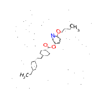 CCCCOc1ccc(OC(=O)[C@H]2CC[C@H](CC[C@H]3CC[C@H](CC)CC3)CC2)cn1